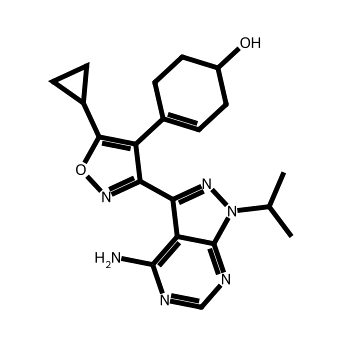 CC(C)n1nc(-c2noc(C3CC3)c2C2=CCC(O)CC2)c2c(N)ncnc21